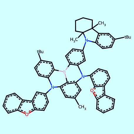 Cc1cc2c3c(c1)N(c1cccc4c1oc1ccccc14)c1cc(N4c5ccc(C(C)(C)C)cc5C5(C)CCCCC45C)ccc1B3c1cc(C(C)(C)C)ccc1N2c1ccc2oc3ccccc3c2c1